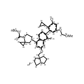 CCCCOC(=O)N1CCN(c2nc(OC[C@@]34CCCN3C[C@H](F)C4)nc3c(F)c(-c4cc(OCOC)cc(Cl)c4C4CC4)ccc23)CC12CC2